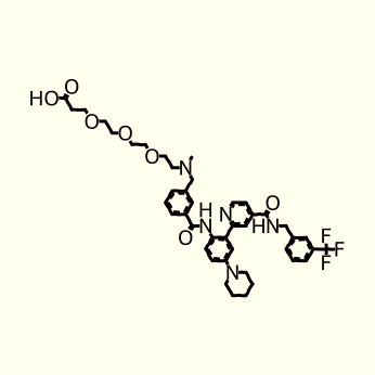 CN(CCOCCOCCOCCC(=O)O)Cc1cccc(C(=O)Nc2ccc(N3CCCCC3)cc2-c2cc(C(=O)NCc3cccc(C(F)(F)F)c3)ccn2)c1